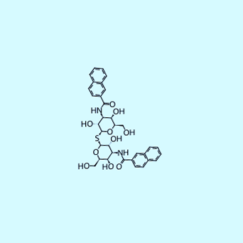 O=C(N[C@H]1[C@@H](O)[C@@H](CO)O[C@@H](S[C@@H]2O[C@H](CO)[C@H](O)[C@H](NC(=O)c3ccc4ccccc4c3)[C@H]2O)[C@@H]1O)c1ccc2ccccc2c1